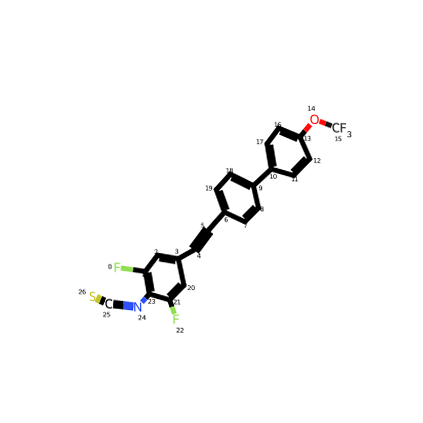 Fc1cc(C#Cc2ccc(-c3ccc(OC(F)(F)F)cc3)cc2)cc(F)c1N=C=S